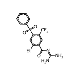 CCc1cc(S(=O)(=O)c2ccccc2)c(C(F)(F)F)cc1C(=O)N=C(N)N